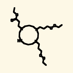 CCOOCCCN1CCCNCCN(CCC(=O)OCC)CCCN(CCCOOCC)CC1